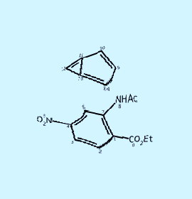 CCOC(=O)c1ccc([N+](=O)[O-])cc1NC(C)=O.c1cc2cc-2c1